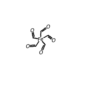 O=[CH][Fe]([CH]=O)([CH]=O)([CH]=O)[CH]=O